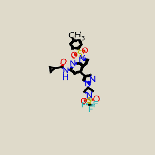 Cc1ccc(S(=O)(=O)n2ccc3c(-c4cnn(C5CN(S(=O)(=O)C(F)(F)F)C5)c4)cc(NC(=O)C4CC4)nc32)cc1